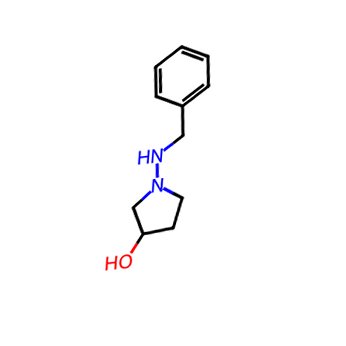 OC1CCN(NCc2ccccc2)C1